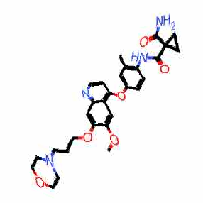 COc1cc2c(Oc3ccc(NC(=O)C4(C(N)=O)CC4)c(C)c3)ccnc2cc1OCCCN1CCOCC1